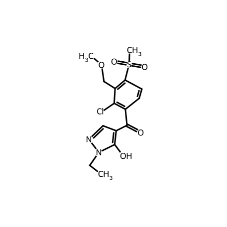 CCn1ncc(C(=O)c2ccc(S(C)(=O)=O)c(COC)c2Cl)c1O